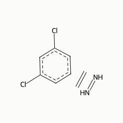 C=C.Clc1cccc(Cl)c1.N=N